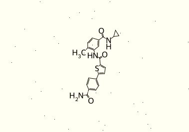 Cc1ccc(C(=O)NC2CC2)cc1NC(=O)c1ccc(-c2ccc(C(N)=O)cc2)s1